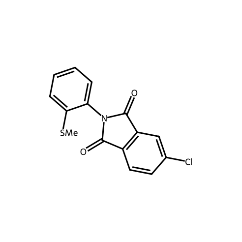 CSc1ccccc1N1C(=O)c2ccc(Cl)cc2C1=O